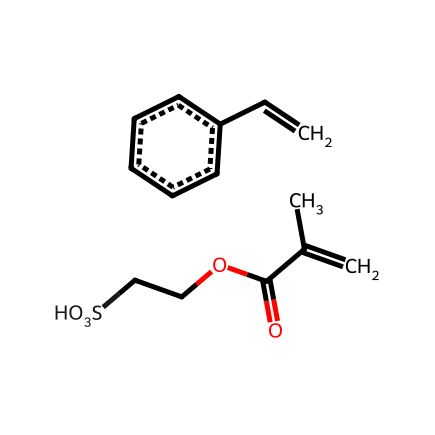 C=C(C)C(=O)OCCS(=O)(=O)O.C=Cc1ccccc1